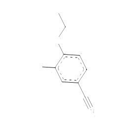 CCOc1ccc(C#N)cc1O